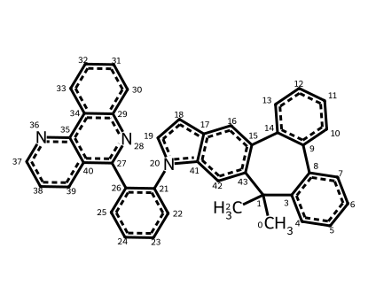 CC1(C)c2ccccc2-c2ccccc2-c2cc3ccn(-c4ccccc4-c4nc5ccccc5c5ncccc45)c3cc21